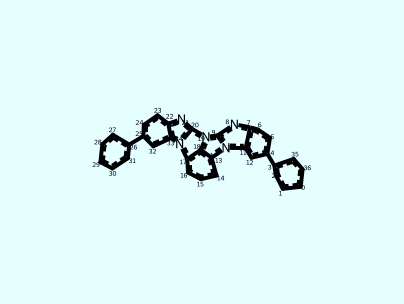 c1ccc(-c2ccc3nc4n(c3c2)c2cccc3c2n4c2nc4ccc(-c5ccccc5)cc4n32)cc1